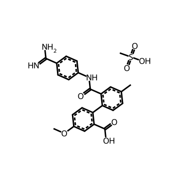 COc1ccc(-c2ccc(C)cc2C(=O)Nc2ccc(C(=N)N)cc2)c(C(=O)O)c1.CS(=O)(=O)O